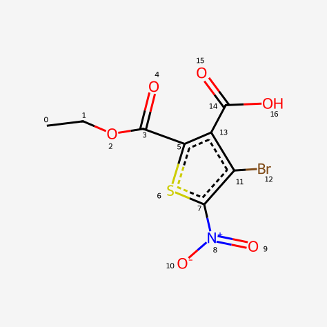 CCOC(=O)c1sc([N+](=O)[O-])c(Br)c1C(=O)O